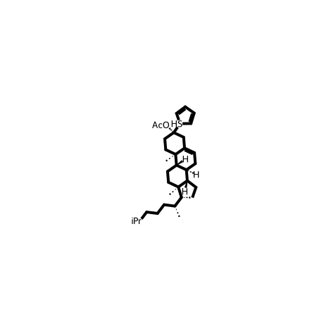 CC(=O)O[C@@]1([SH]2C=CC=C2)CC[C@@]2(C)C(=CC[C@H]3[C@@H]4CC[C@H]([C@H](C)CCCC(C)C)[C@@]4(C)CC[C@@H]32)C1